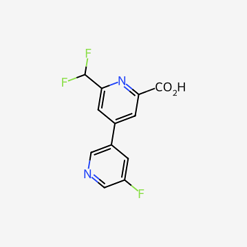 O=C(O)c1cc(-c2cncc(F)c2)cc(C(F)F)n1